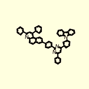 c1ccc(-c2cc(-c3cccc(-n4c5ccccc5c5ccccc54)c3)nc(-c3ccc(-c4ccc5c(ccc6nc(-c7ccccc7)cc(-c7ccccc7)c65)c4)cc3)n2)cc1